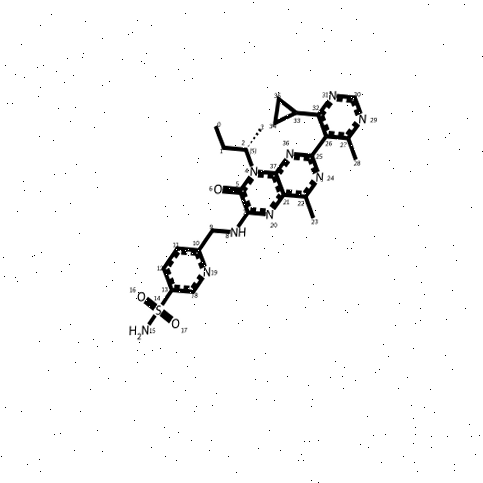 CC[C@H](C)n1c(=O)c(NCc2ccc(S(N)(=O)=O)cn2)nc2c(C)nc(-c3c(C)ncnc3C3CC3)nc21